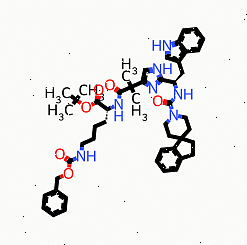 CC(C)(C)OC(=O)[C@@H](CCCCNC(=O)OCc1ccccc1)NC(=O)C(C)(C)c1c[nH]c([C@@H](Cc2c[nH]c3ccccc23)NC(=O)N2CCC3(CCc4ccccc43)CC2)n1